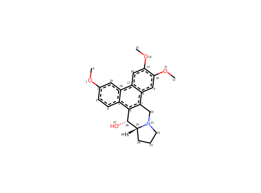 COc1ccc2c3c(c4cc(OC)c(OC)cc4c2c1)CN1CCC[C@@H]1[C@@H]3O